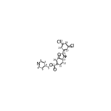 O=C(OCc1ccncc1)c1ccc2nc(-c3cc(Cl)cc(Cl)c3)oc2c1